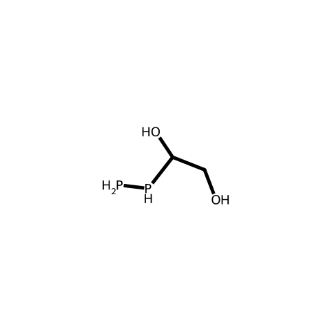 OCC(O)PP